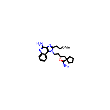 COCCc1nc2c(N)nc3ccccc3c2n1CCCCC1(C(N)=O)CCCC1